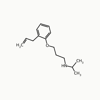 C=CCc1ccccc1OCCCNC(C)C